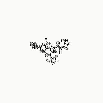 CC[C@@H](C)Nc1cc(C(F)F)c(-c2sc(C(=O)N[C@@H]3CC[C@@H]3O)nc2C(=O)N2CCC[C@@H]2C)cn1